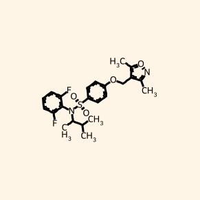 Cc1noc(C)c1COc1ccc(S(=O)(=O)N(c2c(F)cccc2F)C(C)C(C)C)cc1